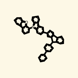 c1ccc(-c2ccc(C3c4ccccc4-c4ccc(-c5ccc6c(c5)c5ccccc5n6-c5cccc6c5oc5ccccc56)cc43)cc2)cc1